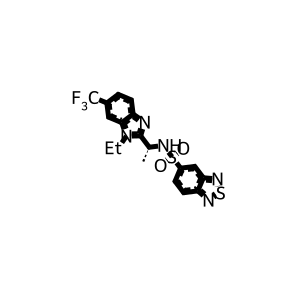 CCn1c([C@@H](C)NS(=O)(=O)c2ccc3nsnc3c2)nc2ccc(C(F)(F)F)cc21